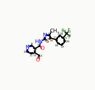 Cc1nc(NC(=O)c2cnccc2[C]=O)sc1-c1cccc(C(F)(F)F)c1